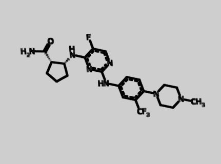 CN1CCN(c2ccc(Nc3ncc(F)c(N[C@@H]4CCC[C@@H]4C(N)=O)n3)cc2C(F)(F)F)CC1